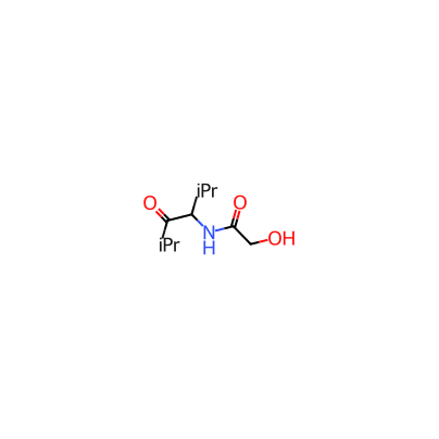 CC(C)C(=O)C(NC(=O)CO)C(C)C